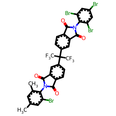 Cc1cc(C)c(N2C(=O)c3ccc(C(c4ccc5c(c4)C(=O)N(c4c(Br)cc(Br)cc4Br)C5=O)(C(F)(F)F)C(F)(F)F)cc3C2=O)c(Br)c1